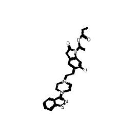 CCC(=O)OC(C)N1C(=O)Cc2cc(CCN3CCN(c4nsc5ccccc45)CC3)c(Cl)cc21